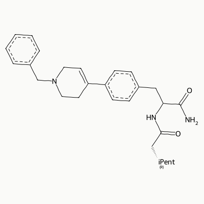 CCC[C@@H](C)CC(=O)NC(Cc1ccc(C2=CCN(Cc3ccccc3)CC2)cc1)C(N)=O